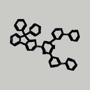 c1ccc(-c2cccc(-c3cc(-c4ccc5c(c4)C(c4ccccc4)(c4ccccc4)c4ccccc4-5)nc(-c4cccc(-c5ccccc5)c4)n3)c2)cc1